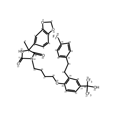 CC1(c2ccc3c(c2)OCO3)NC(=O)N(CCCCOc2ccc(C(O)(C(F)(F)F)C(F)(F)F)cc2CCc2ccc(C(F)(F)F)cc2)C1=O